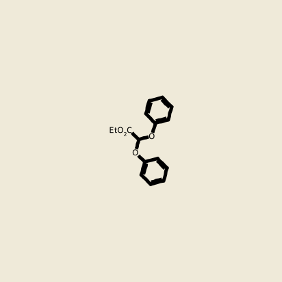 CCOC(=O)C(Oc1ccccc1)Oc1ccccc1